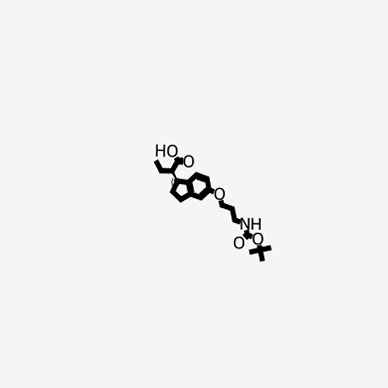 CCC(C(=O)O)[C@@H]1CCc2cc(OCCCNC(=O)OC(C)(C)C)ccc21